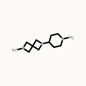 CN1CCC(N2CC3(CN(C)C3)C2)CC1